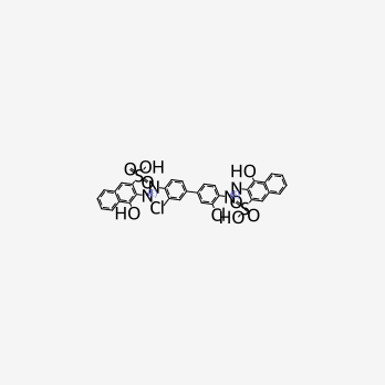 O=S(=O)(O)c1cc2ccccc2c(O)c1/N=N/c1ccc(-c2ccc(/N=N/c3c(S(=O)(=O)O)cc4ccccc4c3O)c(Cl)c2)cc1Cl